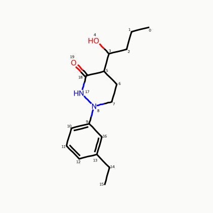 CCCC(O)C1CCN(c2cccc(CC)c2)NC1=O